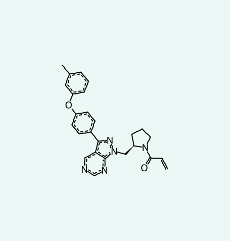 C=CC(=O)N1CCC[C@@H]1Cn1nc(-c2ccc(Oc3cccc(C)c3)cc2)c2cncnc21